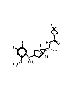 C=Nc1cc(F)c(F)cc1N(C)C1C[C@@H]2[C@H](C1)[C@H]2[C@@H](CC)NC(=O)N1CC(F)(F)C1